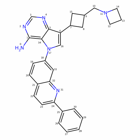 Nc1ncnc2c(C3CC(CN4CCC4)C3)cn(-c3ccc4ccc(-c5ccccc5)nc4c3)c12